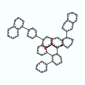 c1ccc(-c2ccccc2-c2c(-c3ccccc3)cccc2N(c2ccc(-c3ccc(-c4cccc5ccccc45)cc3)cc2)c2cccc(-c3ccc4ccccc4c3)c2)cc1